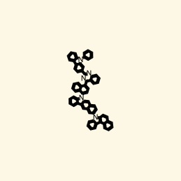 c1ccc(-n2c3ccccc3c3ccc(-c4nc(-c5ccc(-n6c7ccccc7c7cc8cc(-n9c%10ccccc%10c%10c%11ccccc%11ccc%109)ccc8cc76)c6ccccc56)c5ccccc5n4)cc32)cc1